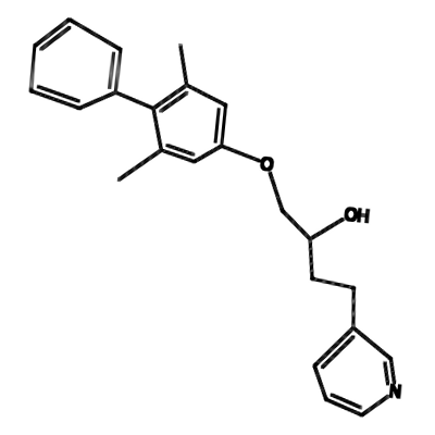 Cc1cc(OCC(O)CCc2cccnc2)cc(C)c1-c1ccccc1